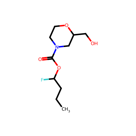 CCCC(F)OC(=O)N1CCOC(CO)C1